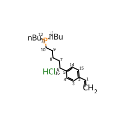 C=Cc1ccc(CCCCCP(CCCC)CCCC)cc1.Cl